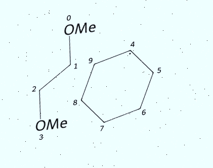 COCCOC.[CH]1CCCCC1